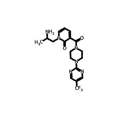 CC(N)Cn1cccc(C(=O)N2CCN(c3ncc(C(F)(F)F)cn3)CC2)c1=O